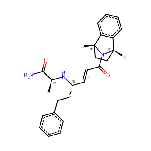 C[C@H](N[C@H](/C=C/C(=O)N1[C@@H]2CC[C@H]1c1ccccc12)CCc1ccccc1)C(N)=O